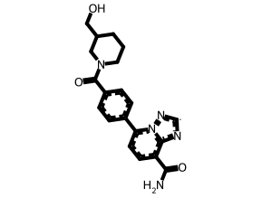 NC(=O)c1ccc(-c2ccc(C(=O)N3CCCC(CO)C3)cc2)n2n[c]nc12